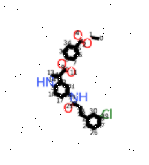 CCOC(=O)c1ccc(OC(=O)c2c[nH]c3ccc(NC(=O)CCc4cccc(Cl)c4)cc23)cc1